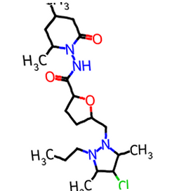 CCCN1C(C)C(Cl)C(C)N1CC1CCC(C(=O)NN2C(=O)CC(C)CC2C)O1